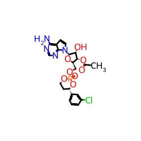 CC(=O)O[C@H]1[C@@H](O)[C@H](n2ccc3c(N)ncnc32)O[C@@H]1CO[P@@]1(=O)OCC[C@@H](c2cccc(Cl)c2)O1